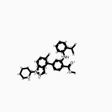 COC(=O)c1ccc(-c2c(C)ccc3c2cnn3C2CCCCO2)cc1Nc1ccccc1C(C)C